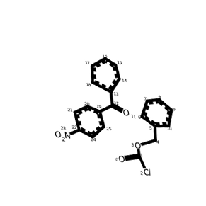 O=C(Cl)OCc1ccccc1.O=C(c1ccccc1)c1ccc([N+](=O)[O-])cc1